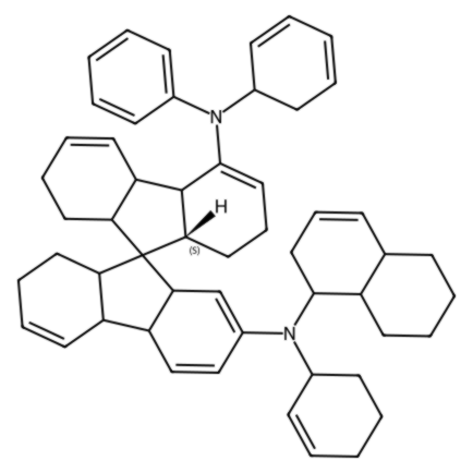 C1=CCC(N(C2=CCC[C@H]3C2C2C=CCCC2C32C3C=C(N(C4C=CCCC4)C4CC=CC5CCCCC54)C=CC3C3C=CCCC32)c2ccccc2)C=C1